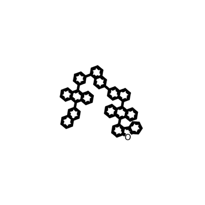 c1cc(-c2cccc3cc(-c4ccc5c(-c6c7ccccc7c(-c7cccc8oc9ccccc9c78)c7ccccc67)cccc5c4)ccc23)cc(-c2c3ccccc3c(-c3ccc4ccccc4c3)c3ccccc23)c1